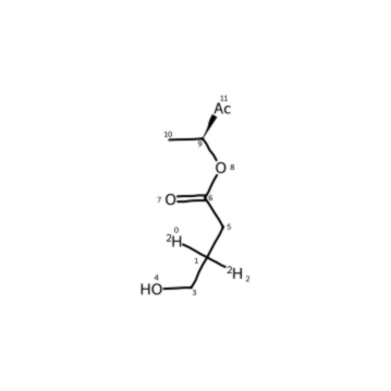 [2H]C([2H])(CO)CC(=O)O[C@@H](C)C(C)=O